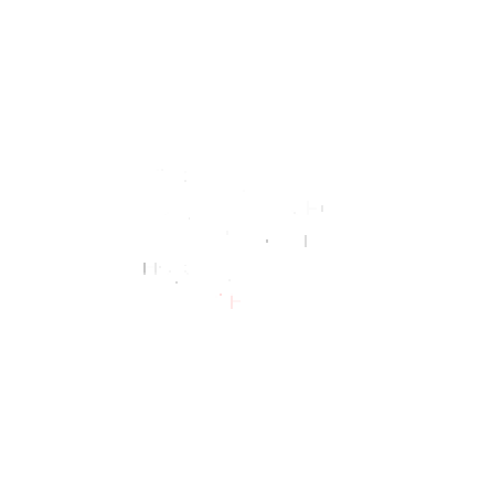 O=C(O)CC(O)(CC(=O)O)C(=O)O.O=CCCCC=O